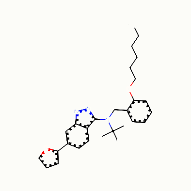 [2H]C(C)(C)N(Cc1ccccc1OCCCCCC(=O)O)c1n[nH]c2cc(-c3ccco3)ccc12